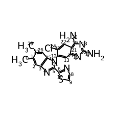 Cc1cc2nc(-c3nccs3)n(-c3cc4nc(N)nc(N)c4cc3Cl)c2cc1C